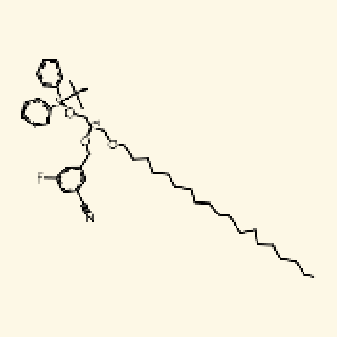 CCCCCCCCCCCCCCCCCCCOC[C@H](CO[Si](c1ccccc1)(c1ccccc1)C(C)(C)C)OCc1cc(F)cc(C#N)c1